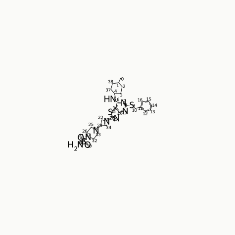 CC1CCC(Nc2nc(SCc3ccccc3)nc3nc(N4CC(N5CCN(S(N)(=O)=O)CC5)C4)sc23)CC1